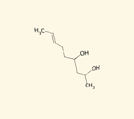 C/C=C/CCC(O)CC(C)O